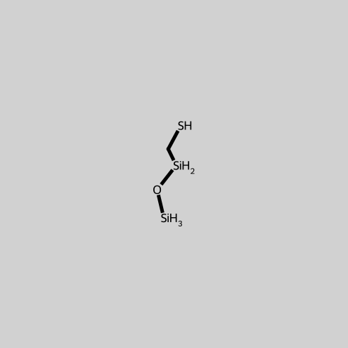 [SiH3]O[SiH2]CS